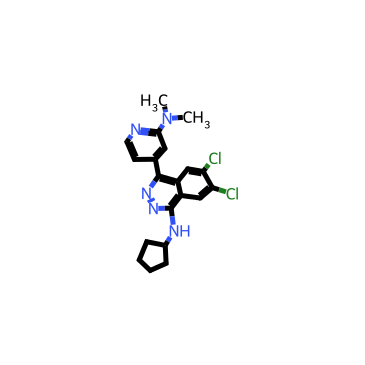 CN(C)c1cc(-c2nnc(NC3CCCC3)c3cc(Cl)c(Cl)cc23)ccn1